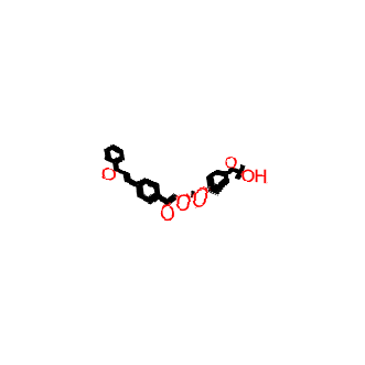 CC(C)(O)C(=O)c1ccc(OCOCC(=O)c2ccc(C=CC(=O)c3ccccc3)cc2)cc1